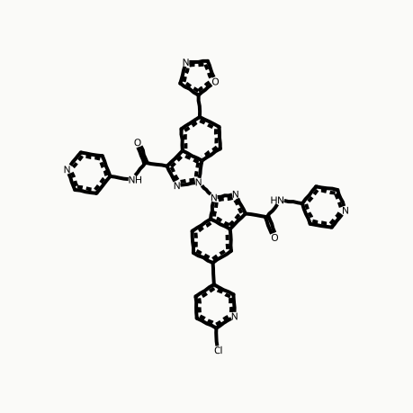 O=C(Nc1ccncc1)c1nn(-n2nc(C(=O)Nc3ccncc3)c3cc(-c4cnco4)ccc32)c2ccc(-c3ccc(Cl)nc3)cc12